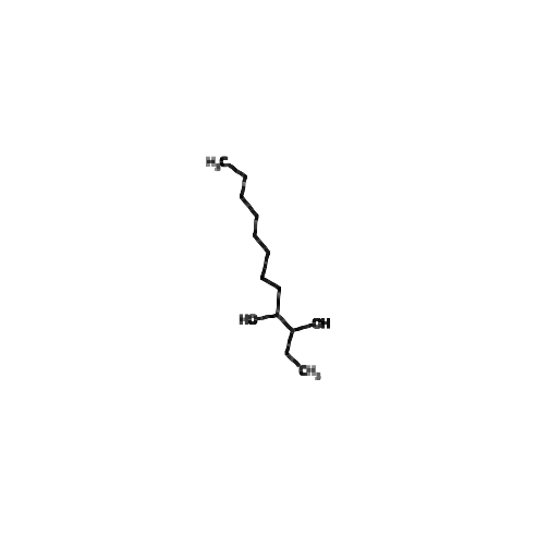 CCCCCCCCC(O)C(O)CC